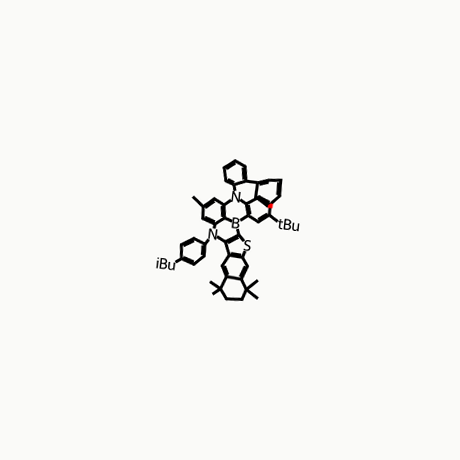 CCC(C)c1ccc(N2c3cc(C)cc4c3B(c3cc(C(C)(C)C)ccc3N4c3ccccc3-c3ccccc3)c3sc4cc5c(cc4c32)C(C)(C)CCC5(C)C)cc1